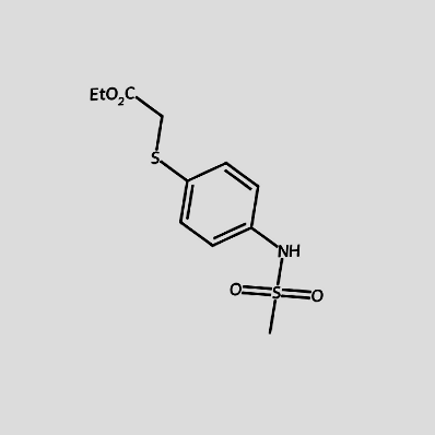 CCOC(=O)CSc1ccc(NS(C)(=O)=O)cc1